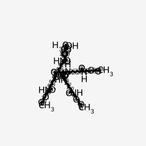 COCCOCCNC(=O)CCCCCNC(=O)CN(CC(=O)NCCCCCC(=O)NCCOCCOC)C(CCCCNC(=O)C1CCC(OP(C)(=O)O)CC1)C(=O)NCCCCCC(=O)NCCOCCOC